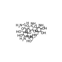 NC(CO)CNC[C@H]1O[C@H](OC2[C@@H](N)C[C@@H](NC(=O)C3(O)CC3N)[C@H](O[C@H]3O[C@H](CO)[C@@H](O)[C@H](N)[C@H]3O)[C@H]2O)[C@H](N)[C@@H](O)[C@@H]1O